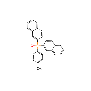 Cc1ccc(P(=O)(c2ccc3ccccc3c2)c2ccc3ccccc3c2)cc1